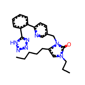 CCCCCc1cn(CCC)c(=O)n1Cc1ccc(-c2ccccc2-c2nnn[nH]2)nc1